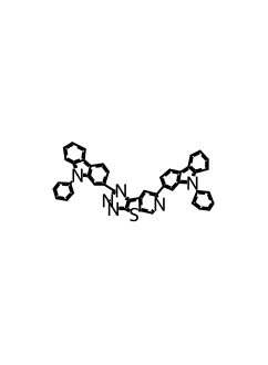 c1ccc(-n2c3ccccc3c3ccc(-c4cc5c(cn4)sc4nnc(-c6ccc7c8ccccc8n(-c8ccccc8)c7c6)nc45)cc32)cc1